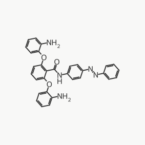 Nc1ccccc1Oc1cccc(Oc2ccccc2N)c1C(=O)Nc1ccc(N=Nc2ccccc2)cc1